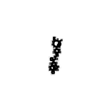 CC1/C=C(F)\C=C/C/C(C2CCN(CCCC(=O)c3cc4c5c(c3)CCN5C(=O)CC4)CC2)=N\O1